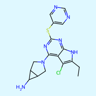 CCc1[nH]c2nc(Sc3cncnc3)nc(N3CC4C(N)C4C3)c2c1Cl